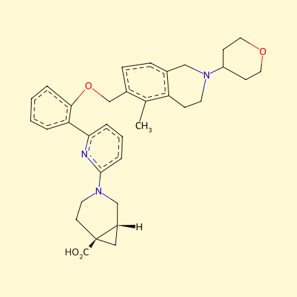 Cc1c(COc2ccccc2-c2cccc(N3CC[C@@]4(C(=O)O)C[C@H]4C3)n2)ccc2c1CCN(C1CCOCC1)C2